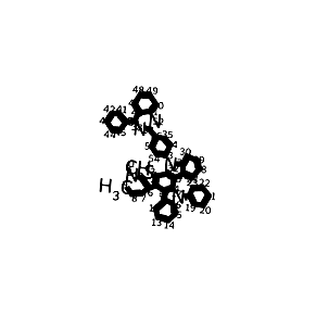 C=Nc1sc2c(c1/C=C\C)c1c3ccccc3n(-c3ccccc3)c1c1c3ccccc3n(-c3ccc(-c4nc(-c5ccccc5)c5ccccc5n4)cc3)c21